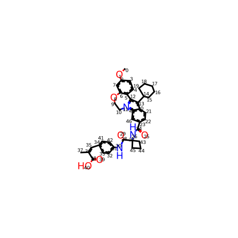 COc1ccc2c(c1)OCCn1c-2c(C2CCCCC2)c2ccc(C(=O)NC3(C(=O)Nc4ccc(C=C(C)C(=O)O)cc4)CCC3)cc21